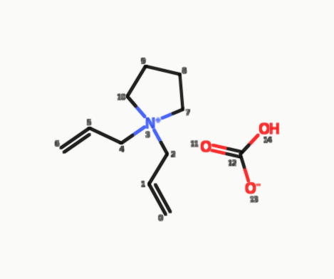 C=CC[N+]1(CC=C)CCCC1.O=C([O-])O